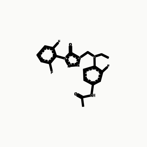 CCN(Cn1nnn(-c2c(F)cccc2F)c1=O)c1ccc(NC(C)=O)cc1F